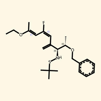 C=C(/C=C(F)\C=C(/C)OCC)[C@H](NSC(C)(C)C)[C@H](C)OCc1ccccc1